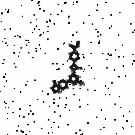 C=CC(=O)N1CCN([C@@H]2CN(c3cc(N4CCC5(CC4)OCCC5=C)nc(C(F)(F)F)n3)[C@@H]2C)CC1